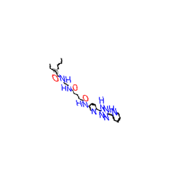 CCCC[C@@H](CC)C(=O)NCCNC(=O)CCCC(=O)Nc1ccc(C2=NN=C(c3ccccn3)NN2)nc1